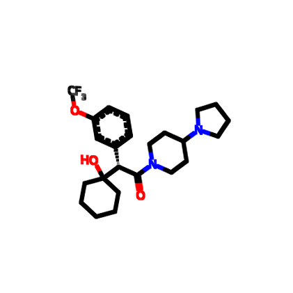 O=C([C@@H](c1cccc(OC(F)(F)F)c1)C1(O)CCCCC1)N1CCC(N2CCCC2)CC1